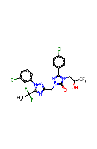 CC(F)(F)c1nc(Cn2nc(-c3ccc(Cl)cc3)n(C[C@H](O)C(F)(F)F)c2=O)nn1-c1cccc(Cl)c1